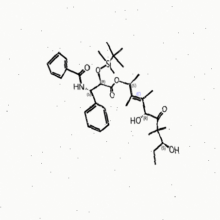 CC[C@H](O)C(C)(C)C(=O)[C@H](O)/C(C)=C(\C)[C@H](C)OC(=O)[C@H](O[Si](C)(C)C(C)(C)C)[C@@H](NC(=O)c1ccccc1)c1ccccc1